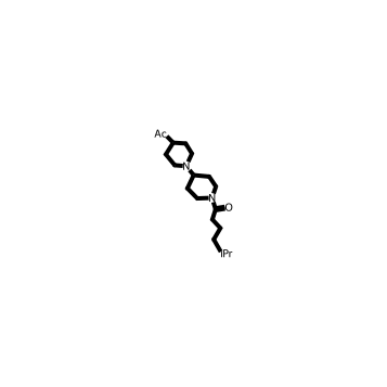 CC(=O)C1CCN(C2CCN(C(=O)CCCC(C)C)CC2)CC1